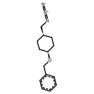 [N-]=[N+]=NC[C@H]1CC[C@@H](OCc2ccccc2)CC1